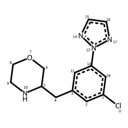 Clc1cc(CC2COCCN2)cc(-n2nccn2)c1